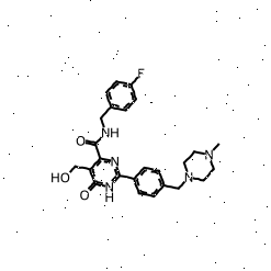 CN1CCN(Cc2ccc(-c3nc(C(=O)NCc4ccc(F)cc4)c(CO)c(=O)[nH]3)cc2)CC1